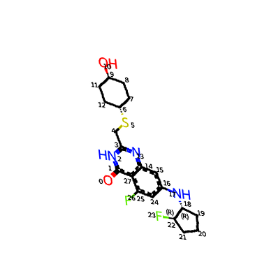 O=c1[nH]c(CS[C@H]2CC[C@H](O)CC2)nc2cc(N[C@@H]3CCC[C@H]3F)cc(F)c12